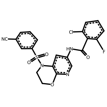 N#Cc1cccc(S(=O)(=O)N2CCOc3ncc(NC(=O)c4c(F)cccc4Cl)cc32)c1